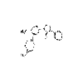 Cc1ccc(N2CCN(c3ccccc3)C2=O)cc1N1CCN(C)CC1